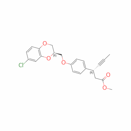 CC#C[C@H](CC(=O)OC)c1ccc(OC[C@@H]2COc3ccc(Cl)cc3O2)cc1